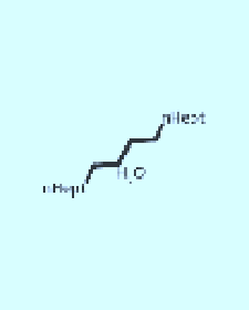 O.[CH2]CCCCCCCCCCCCCCCCC